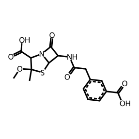 COC1(C)SC2C(NC(=O)Cc3cccc(C(=O)O)c3)C(=O)N2C1C(=O)O